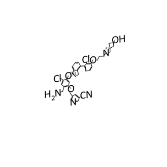 N#Cc1cncc(COc2cc(O[C@H]3CCc4c(-c5cccc(OCCCN6CC7(CC(O)C7)C6)c5Cl)cccc43)c(Cl)cc2CN)c1